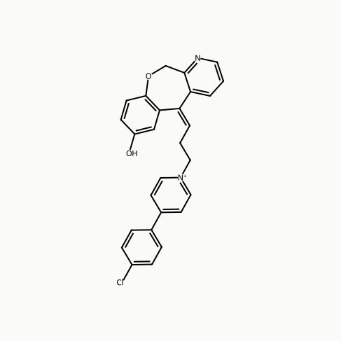 Oc1ccc2c(c1)C(=CCC[n+]1ccc(-c3ccc(Cl)cc3)cc1)c1cccnc1CO2